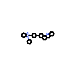 c1ccc(-n2c(-c3ccc(-c4ccc5c(ccc6cc7ccccc7nc65)c4)cc3)nc3ccccc32)cc1